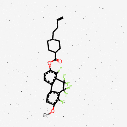 C=CCCC1CCC(C(=O)Oc2ccc3c(c2F)C(F)(F)C(F)(F)c2c-3ccc(OCC)c2F)CC1